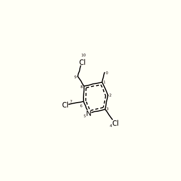 Cc1cc(Cl)nc(Cl)c1CCl